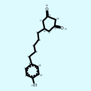 CCc1ccc(CCCCCC2CC(=O)CC(=O)C2)cc1